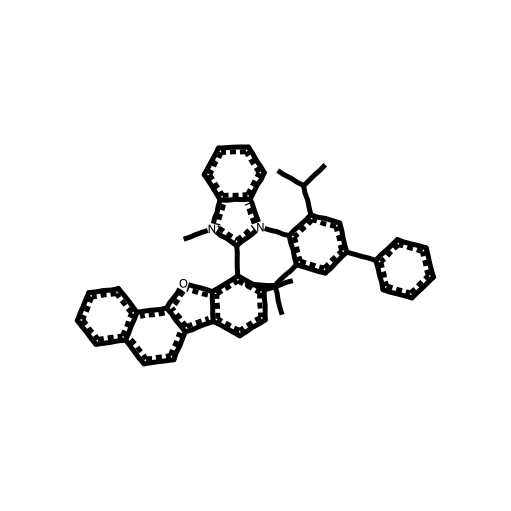 Cc1ccc2c(oc3c4ccccc4ccc23)c1-c1n(-c2c(C(C)C)cc(-c3ccccc3)cc2C(C)C)c2ccccc2[n+]1C